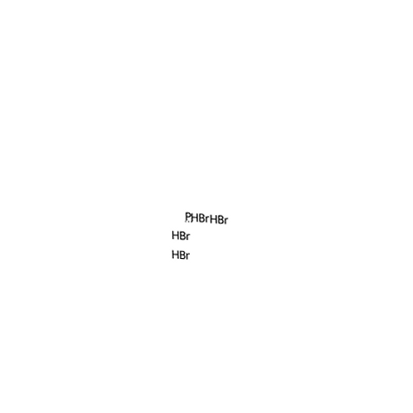 Br.Br.Br.Br.[P]